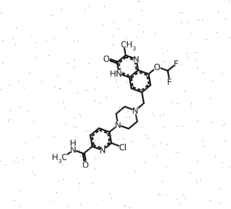 CNC(=O)c1ccc(N2CCN(Cc3cc(OC(F)F)c4nc(C)c(=O)[nH]c4c3)CC2)c(Cl)n1